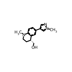 CN1CC[C@@H](CO)c2cc(-c3cnn(C)c3)ccc21